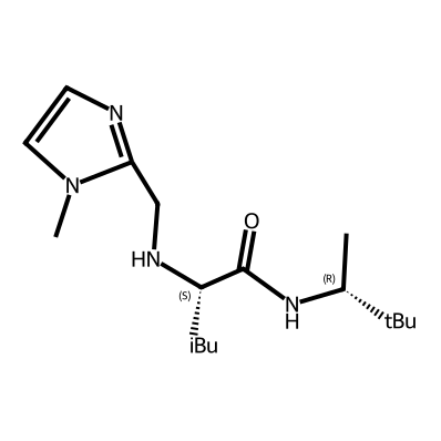 CCC(C)[C@H](NCc1nccn1C)C(=O)N[C@H](C)C(C)(C)C